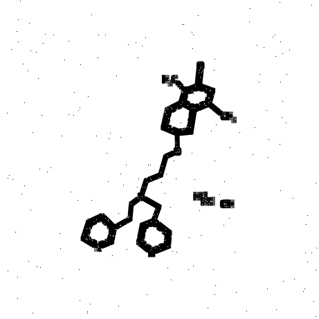 Cc1cc(=O)n(C)c2ccc(OCCCN(CCc3cccnc3)Cc3ccncc3)cc12.Cl.Cl.Cl